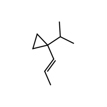 CC=CC1(C(C)C)CC1